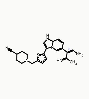 CC(=N)/C(=C\N)C1=CN2C(c3ccc(CN4CCC(C#N)CC4)s3)=CNC2C=C1